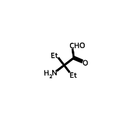 [CH2]CC(N)(CC)C(=O)C=O